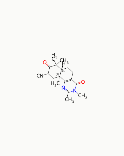 [C-]#[N+]C1C[C@]2(C)c3nc(C)n(C)c(=O)c3CC[C@H]2C(C)(C)C1=O